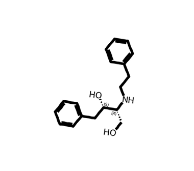 OC[C@@H](NCCc1ccccc1)[C@@H](O)Cc1ccccc1